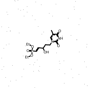 CCOP(=O)(C=CC(O)CCn1cc(C)c(=O)[nH]c1=O)OCC